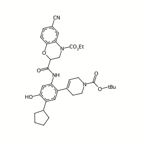 CCOC(=O)N1CC(C(=O)Nc2cc(O)c(C3CCCC3)cc2C2=CCN(C(=O)OC(C)(C)C)CC2)Oc2ccc(C#N)cc21